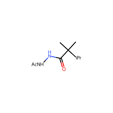 CC(=O)NNC(=O)C(C)(C)C(C)C